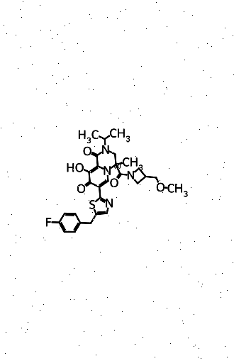 COCC1CN(C(=O)[C@@]2(C)CN(C(C)C)C(=O)c3c(O)c(=O)c(-c4ncc(Cc5ccc(F)cc5)s4)cn32)C1